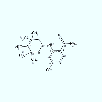 CN1C(C)(C)CC(Nc2cc(Cl)ncc2C(N)=O)CC1(C)C